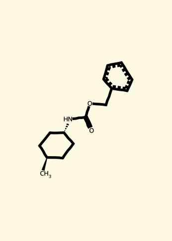 C[C@H]1CC[C@H](NC(=O)OCc2ccccc2)CC1